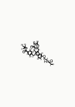 C=CC(=O)NCCOc1ccc2c(c1)c1c(n2Cc2ccc(C(=O)OC(C)(C)C)cc2)CN(C(=O)N(C)C(C)=O)CC1